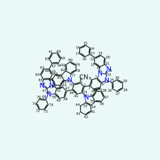 N#Cc1c(-c2c#cc3c(c2)n2c4cc(-c5ccccc5)ccc4nc2n3-c2ccccc2)c(-n2c3c(c4ccccc42)C=CCC3)cc(-c2ccc3c(c2)n2c4cc(-c5ccccc5)ccc4nc2n3-c2ccccc2)c1-n1c2ccccc2c2ccccc21